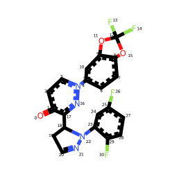 O=c1ccn(-c2ccc3c(c2)OC(F)(F)O3)nc1C1CC=NN1c1cc(F)ccc1F